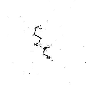 BCC(=O)NCCN